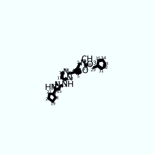 CN(CC12CC(C1)N(c1nccc(Nc3cc(C4CCCC4)[nH]n3)n1)C2)C(=O)OCc1ccccc1